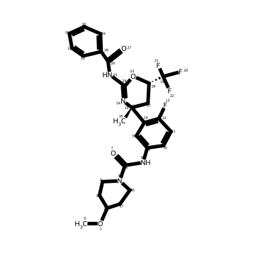 COC1CCN(C(=O)Nc2ccc(F)c([C@@]3(C)C[C@@H](C(F)(F)F)OC(NC(=O)c4ccccc4)=N3)c2)CC1